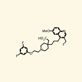 COc1ccc2ncc(CF)c(CCCC3(CC(=O)O)CCN(CCOc4cc(F)cc(F)c4)CC3)c2c1